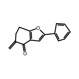 C=C1CCc2oc(-c3ccccc3)cc2C1=O